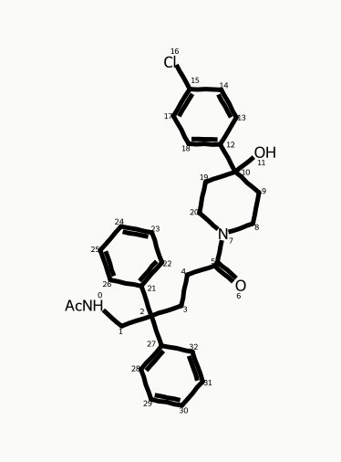 CC(=O)NCC(CCC(=O)N1CCC(O)(c2ccc(Cl)cc2)CC1)(c1ccccc1)c1ccccc1